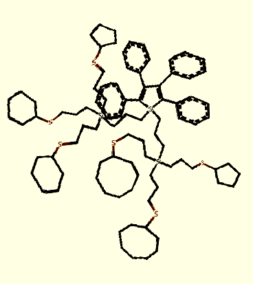 c1ccc(C2=C(c3ccccc3)[Si](CCC[Si](CCCSC3CCCCCCC3)(CCCSC3CCCCCCC3)CCCSC3CCCC3)(CCC[Si](CCCSC3CCCCC3)(CCCSC3CCCCC3)CCCSC3CCCC3)C(c3ccccc3)=C2c2ccccc2)cc1